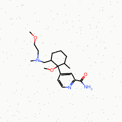 COCCN(C)CC1CCCC(C)C1(OC)c1ccnc(C(N)=O)c1